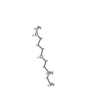 CC(C)CNCCOCCCOC(C)C